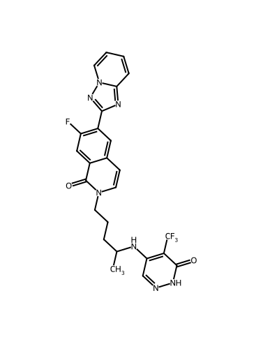 CC(CCCn1ccc2cc(-c3nc4ccccn4n3)c(F)cc2c1=O)Nc1cn[nH]c(=O)c1C(F)(F)F